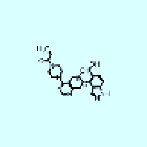 C=CC(=O)N1CCN(c2ncnc3c2C[C@@H](C)[C@H](c2c(CO)ccc4[nH]ncc24)C3)CC1